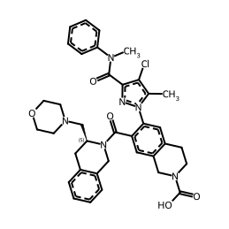 Cc1c(Cl)c(C(=O)N(C)c2ccccc2)nn1-c1cc2c(cc1C(=O)N1Cc3ccccc3C[C@H]1CN1CCOCC1)CN(C(=O)O)CC2